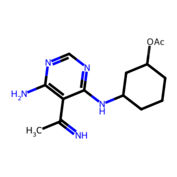 CC(=N)c1c(N)ncnc1NC1CCCC(OC(C)=O)C1